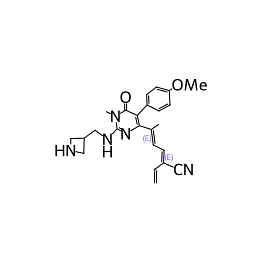 C=C/C(C#N)=C\C=C(/C)c1nc(NCC2CNC2)n(C)c(=O)c1-c1ccc(OC)cc1